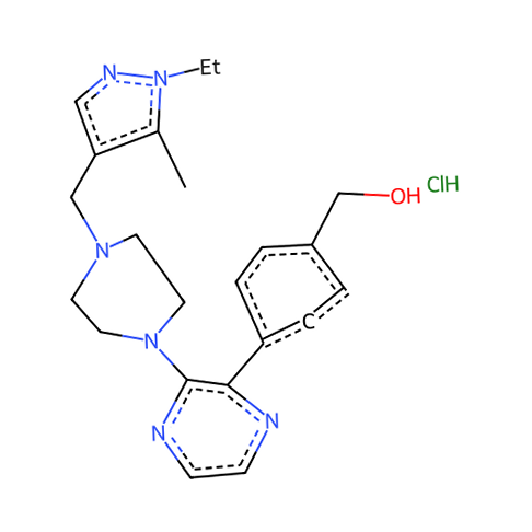 CCn1ncc(CN2CCN(c3nccnc3-c3ccc(CO)cc3)CC2)c1C.Cl